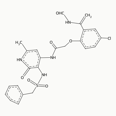 C=C(NC=O)c1cc(Cl)ccc1OCC(=O)Nc1cc(C)[nH]c(=O)c1NS(=O)(=O)Cc1ccccc1